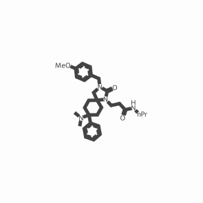 CCCNC(=O)CCN1C(=O)N(Cc2ccc(OC)cc2)CC12CCC(c1ccccc1)(N(C)C)CC2